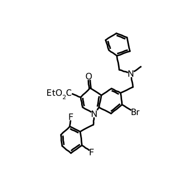 CCOC(=O)c1cn(Cc2c(F)cccc2F)c2cc(Br)c(CN(C)Cc3ccccc3)cc2c1=O